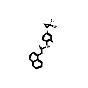 CC[C@@]1(N)C[C@H]1c1ccc(NC(=O)Cc2cccc3ccccc23)c(F)c1